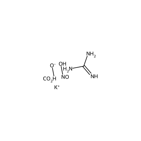 N=C(N)N.O=C([O-])O.O=NO.[K+]